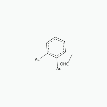 CC(=O)c1ccccc1C(C)=O.CC=O